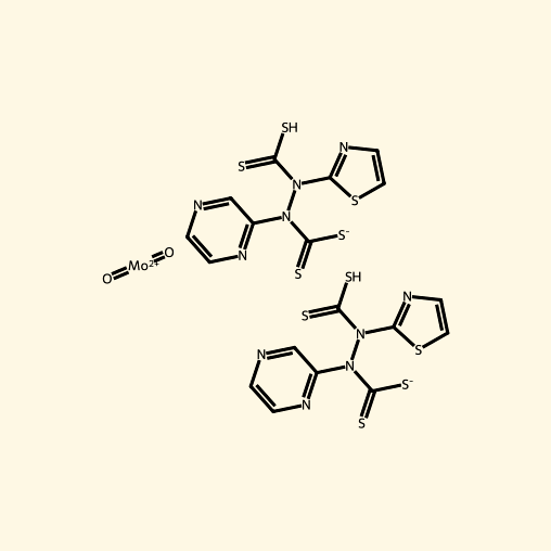 S=C([S-])N(c1cnccn1)N(C(=S)S)c1nccs1.S=C([S-])N(c1cnccn1)N(C(=S)S)c1nccs1.[O]=[Mo+2]=[O]